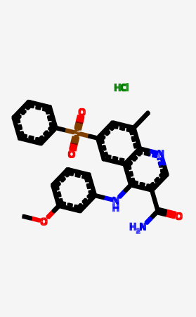 COc1cccc(Nc2c(C(N)=O)cnc3c(C)cc(S(=O)(=O)c4ccccc4)cc23)c1.Cl